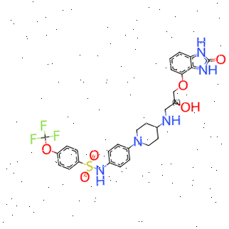 O=c1[nH]c2cccc(OC[C@@H](O)CNC3CCN(c4ccc(NS(=O)(=O)c5ccc(OC(F)(F)F)cc5)cc4)CC3)c2[nH]1